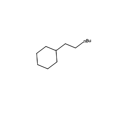 CCCCCC[C]1CCCCC1